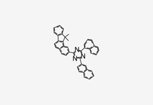 CC1(C)c2ccccc2-c2ccc3ccc(-c4nc(-c5ccc6ccccc6c5)nc(-c5cccc6ccccc56)n4)cc3c21